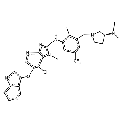 CN(C)[C@H]1CCN(Cc2cc(C(F)(F)F)cc(Nc3nc4ncc(Oc5cnn6ccncc56)c(Cl)c4n3C)c2F)C1